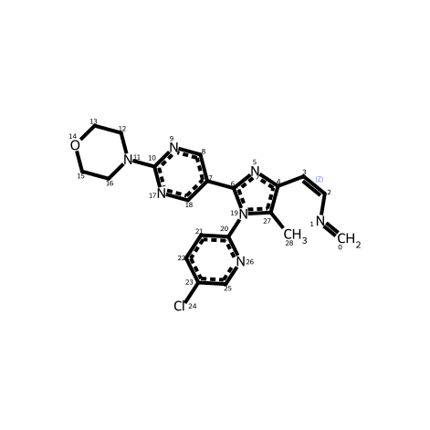 C=N/C=C\c1nc(-c2cnc(N3CCOCC3)nc2)n(-c2ccc(Cl)cn2)c1C